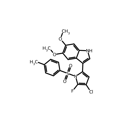 COc1cc2[nH]cc(-c3cc(Cl)c(F)n3S(=O)(=O)c3ccc(C)cc3)c2cc1OC